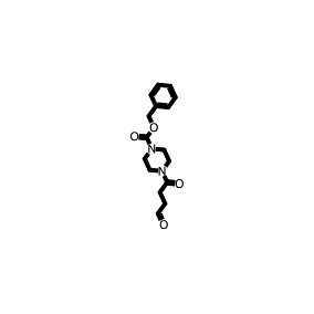 O=CCCC(=O)N1CCN(C(=O)OCc2ccccc2)CC1